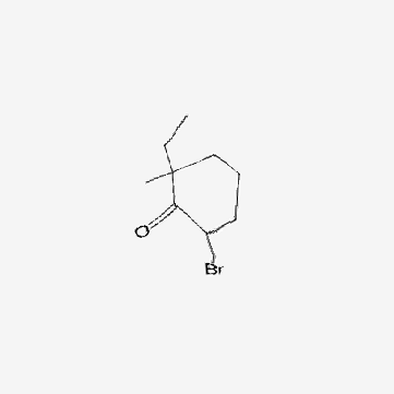 CCC1(C)CCCC(Br)C1=O